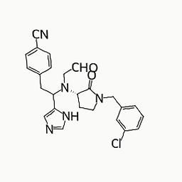 N#Cc1ccc(CC(c2cnc[nH]2)N(CC=O)[C@H]2CCN(Cc3cccc(Cl)c3)C2=O)cc1